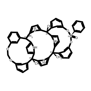 C[C@]12c3cccc(c3)OCOc3cccc(c3)[C@](C)(c3ccc1[nH]3)c1ccc([nH]1)[C@@]1(C)c3cccc(c3)O[P@](=O)(c3ccccc3)Oc3cccc(c3)[C@@](C)(c3ccc2[nH]3)c2ccc1[nH]2